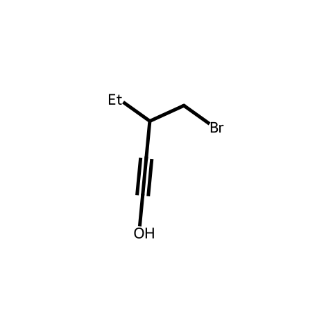 CCC(C#CO)CBr